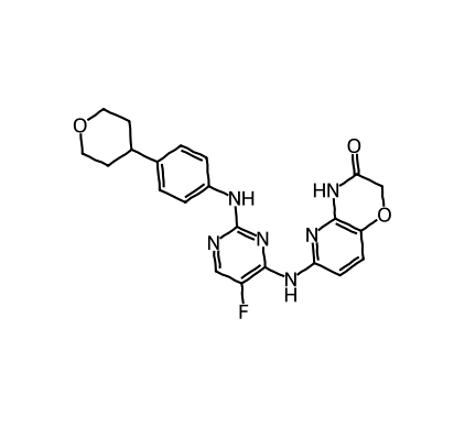 O=C1COc2ccc(Nc3nc(Nc4ccc(C5CCOCC5)cc4)ncc3F)nc2N1